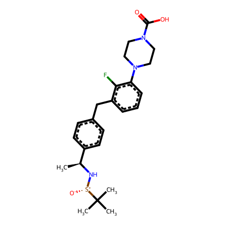 C[C@H](N[S@@+]([O-])C(C)(C)C)c1ccc(Cc2cccc(N3CCN(C(=O)O)CC3)c2F)cc1